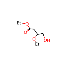 CCOC(=O)CC(CO)OCC